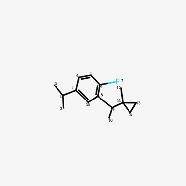 CC(C)c1ccc(F)c(C(C)C2(C)CC2)c1